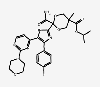 CC(C)OC(=O)C1(C)COC(C(N)=O)(c2nc(-c3ccc(F)cc3)c(-c3ccnc(N4CCOCC4)n3)[nH]2)OC1